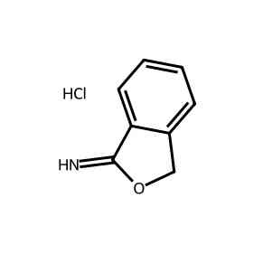 Cl.N=C1OCc2ccccc21